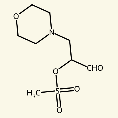 CS(=O)(=O)OC([C]=O)CN1CCOCC1